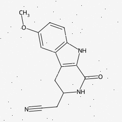 COc1ccc2[nH]c3c(c2c1)CC(CC#N)NC3=O